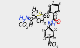 CC(C)(S[Se]c1ccccc1C(=O)Nc1ccc([N+](=O)[O-])cc1)[C@@H](N)C(=O)O